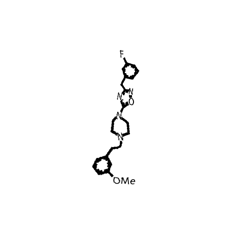 COc1cccc(CCN2CCN(c3nc(Cc4cccc(F)c4)no3)CC2)c1